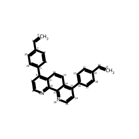 C=Cc1ccc(-c2ccnc3c2ccc2c(-c4ccc(C=C)cc4)ccnc23)cc1